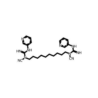 N#CN(CCCCCCCCCCN(C#N)C(=N)Nc1cccnc1)C(=N)Nc1cccnc1